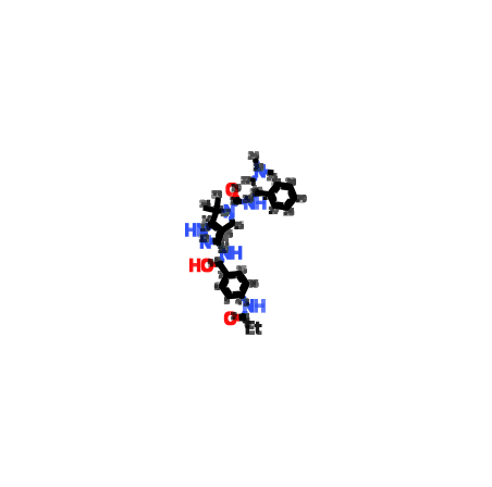 CCC(=O)Nc1ccc(C(O)Nc2n[nH]c3c2CN(C(=O)N[C@H](CN(C)C)c2ccccc2)C3(C)C)cc1